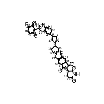 CC(Oc1cc(-c2cnn(C3CCN(Cc4cc5c(cc4F)C(=O)N(C4CCC(=O)NC4=O)C5=O)CC3)c2)cnc1N)c1c(Cl)ccc(F)c1Cl